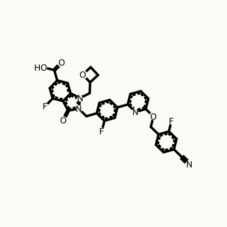 N#Cc1ccc(COc2cccc(-c3ccc(Cn4c(=O)c5c(F)cc(C(=O)O)cc5n4CC4CCO4)c(F)c3)n2)c(F)c1